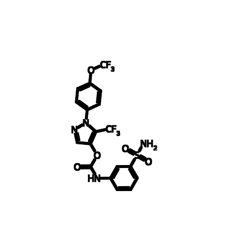 NS(=O)(=O)c1cccc(NC(=O)Oc2cnn(-c3ccc(OC(F)(F)F)cc3)c2C(F)(F)F)c1